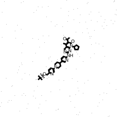 CC(=O)c1c(C)c2cnc(Nc3ccc(C4CCN(c5ccc(CO[Si](C)(C)C(C)(C)C)nc5)CC4)cn3)nc2n(C2CCCC2)c1=O